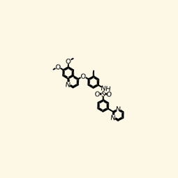 COc1cc2nccc(Oc3ccc(NS(=O)(=O)c4cccc(-c5ncccn5)c4)cc3C)c2cc1OC